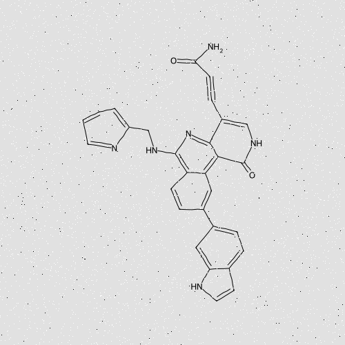 NC(=O)C#Cc1c[nH]c(=O)c2c1nc(NCc1ccccn1)c1ccc(-c3ccc4cc[nH]c4c3)cc12